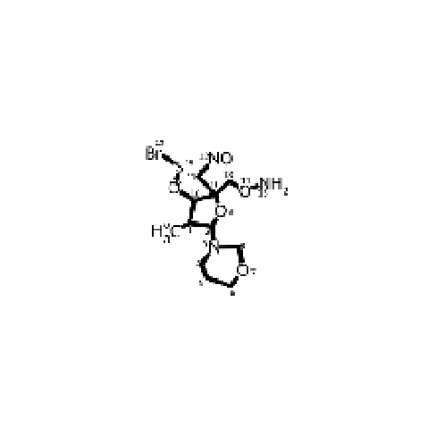 CC1C(N2CCCOC2)OC(CN=O)(CON)C1OSBr